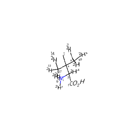 [2H]N([2H])C([2H])(C(=O)O)C(C)(C([2H])([2H])[2H])C([2H])([2H])[2H]